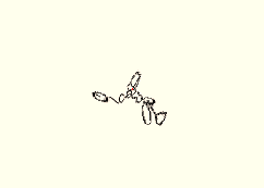 COCCOCOc1cc2ccc(OC(=O)c3ccccc3)cc2cc1C12CC3CC(CC(C3)C1)C2